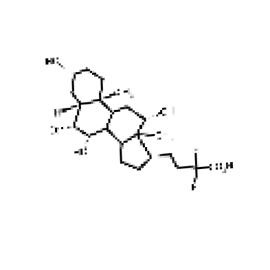 CC[C@H]1[C@@H](O)C2C3CC[C@H](CCC(F)(F)C(=O)O)[C@@]3(C)[C@@H](O)CC2[C@@]2(C)CC[C@@H](O)C[C@@H]12